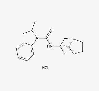 CC1Cc2ccccc2N1C(=O)NC1CC2CCC(C1)N2C.Cl